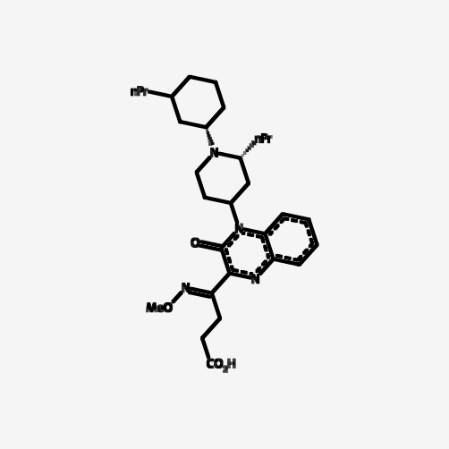 CCCC1CCC[C@H](N2CCC(n3c(=O)c(/C(CCC(=O)O)=N/OC)nc4ccccc43)C[C@H]2CCC)C1